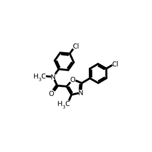 Cc1nc(-c2ccc(Cl)cc2)oc1C(=O)N(C)c1ccc(Cl)cc1